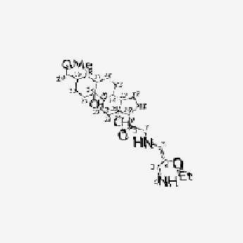 CCO/C(C=N)=C/NCC(=O)C1CCC2C3CCC4CC(COC)CCC4(C)C3CCC12C